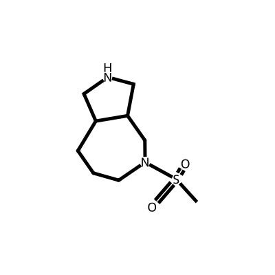 CS(=O)(=O)N1CCCC2CNCC2C1